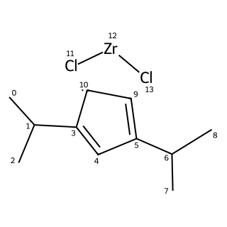 CC(C)C1=CC(C(C)C)=C[CH]1.[Cl][Zr][Cl]